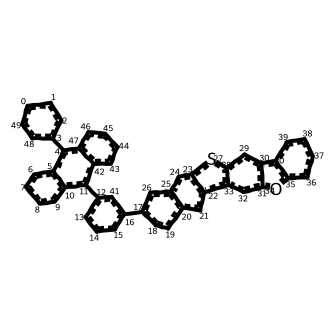 c1ccc(-c2c3ccccc3c(-c3cccc(-c4ccc5cc6c(cc5c4)sc4cc5c(cc46)oc4ccccc45)c3)c3ccccc23)cc1